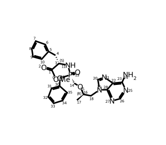 COC(=O)[C@H](Cc1ccccc1)N[P@](=O)(CO[C@H](C)Cn1cnc2c(N)ncnc21)Oc1ccccc1